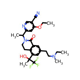 CCOc1cc(C(C)N2CCc3c(cc(CCN(C)CC)cc3C(C)(O)C(F)(F)F)C2=O)ncc1C#N